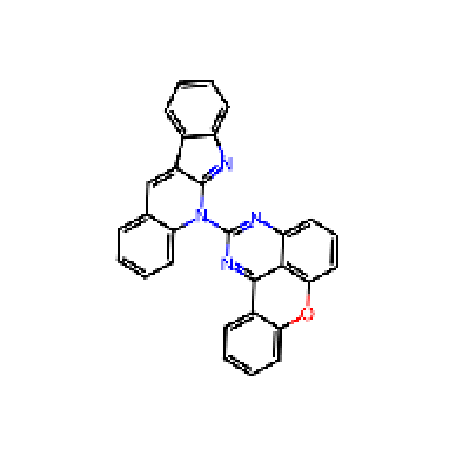 c1ccc2c(c1)Oc1cccc3nc(-n4c5nc6ccccc6c-5cc5ccccc54)nc-2c13